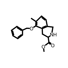 COC(=O)C1Cc2c(ccc(C)c2OCc2ccccc2)CN1